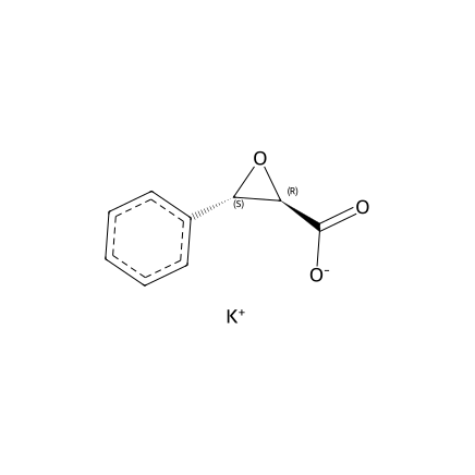 O=C([O-])[C@@H]1O[C@H]1c1ccccc1.[K+]